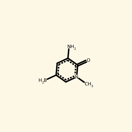 Bc1cc(N)c(=O)n(C)c1